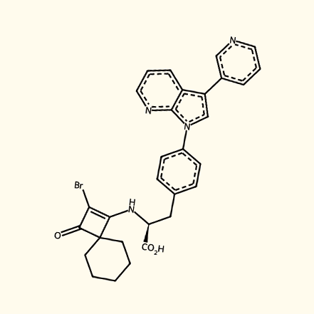 O=C(O)[C@H](Cc1ccc(-n2cc(-c3cccnc3)c3cccnc32)cc1)NC1=C(Br)C(=O)C12CCCCC2